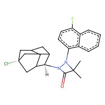 CC1(C)C(=O)N([C@H]2C3CC4CC2C[C@](Cl)(C4)C3)N1c1ccc(F)c2ccccc12